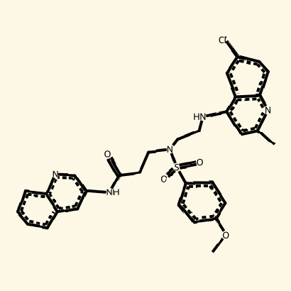 COc1ccc(S(=O)(=O)N(CCNc2cc(C)nc3ccc(Cl)cc23)CCC(=O)Nc2cnc3ccccc3c2)cc1